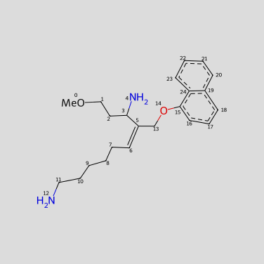 COCCC(N)C(=CCCCCCN)COc1cccc2ccccc12